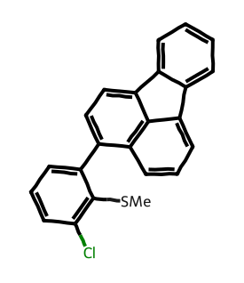 CSc1c(Cl)cccc1-c1ccc2c3c(cccc13)-c1ccccc1-2